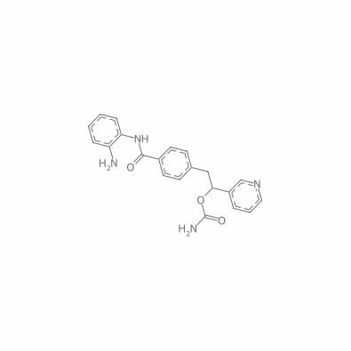 NC(=O)OC(Cc1ccc(C(=O)Nc2ccccc2N)cc1)c1cccnc1